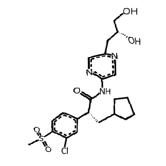 CS(=O)(=O)c1ccc([C@@H](CC2CCCC2)C(=O)Nc2cnc(C[C@@H](O)CO)cn2)cc1Cl